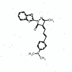 CC1=NN(c2nc3ccccc3s2)C(=O)C1=CC=Cc1ccc(N(C)C)cc1